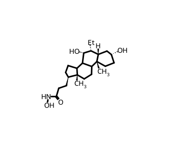 CC[C@H]1[C@@H](O)C2C3CC[C@H](CCC(=O)NO)[C@@]3(C)CCC2[C@@]2(C)CC[C@@H](O)C[C@@H]12